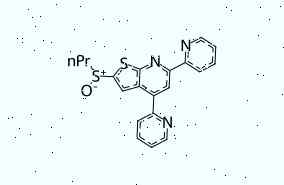 CCC[S+]([O-])c1cc2c(-c3ccccn3)cc(-c3ccccn3)nc2s1